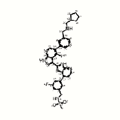 CS(=O)(=O)NCc1cc(F)cc(-c2ccnc3[nH]c(-c4n[nH]c5ncc(-c6cncc(CNCC7CCCC7)c6)c(F)c45)nc23)c1